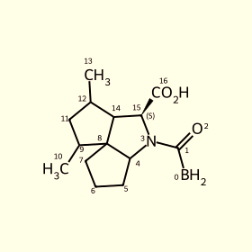 BC(=O)N1C2CCCC23C(C)CC(C)C3[C@H]1C(=O)O